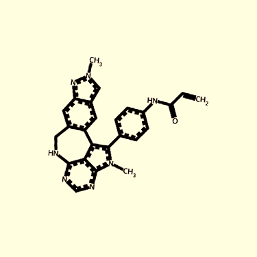 C=CC(=O)Nc1ccc(-c2c3c4c(ncnc4n2C)NCc2cc4nn(C)cc4cc2-3)cc1